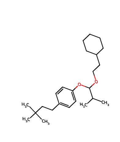 CC(C)C(OCCC1CCCCC1)Oc1ccc(CCC(C)(C)C)cc1